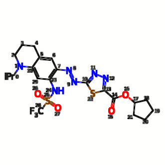 CC(C)N1CCCc2cc(N=Nc3nnc(C(=O)OC4CCCC4)s3)c(NS(=O)(=O)C(F)(F)F)cc21